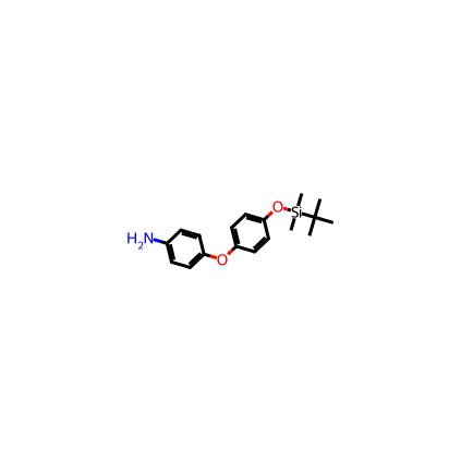 CC(C)(C)[Si](C)(C)Oc1ccc(Oc2ccc(N)cc2)cc1